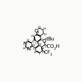 CC(C)(C)OC(C(=O)O)c1c(C(F)(F)F)ccc(-c2ccncn2)c1-c1ccc2c(c1)CCCO2